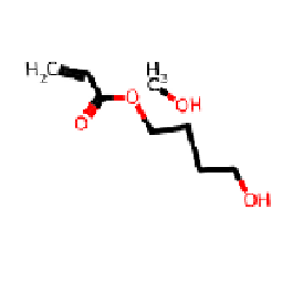 C=CC(=O)OCCCCO.CO